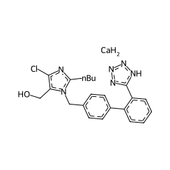 CCCCc1nc(Cl)c(CO)n1Cc1ccc(-c2ccccc2-c2nnn[nH]2)cc1.[CaH2]